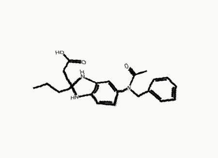 CCCC1(CC(=O)O)Nc2ccc(N(Cc3ccccc3)C(C)=O)cc2N1